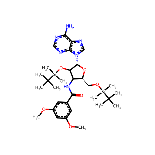 COc1cc(OC)cc(C(=O)NC2C(O[Si](C)(C)C(C)(C)C)[C@H](n3cnc4c(N)ncnc43)O[C@@H]2CO[Si](C)(C)C(C)(C)C)c1